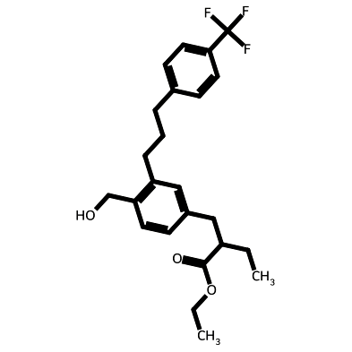 CCOC(=O)C(CC)Cc1ccc(CO)c(CCCc2ccc(C(F)(F)F)cc2)c1